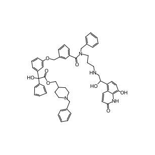 O=C(c1cccc(COc2cccc(C(O)(C(=O)OCC3CCN(Cc4ccccc4)CC3)c3ccccc3)c2)c1)N(CCCNCC(O)c1ccc(O)c2[nH]c(=O)ccc12)Cc1ccccc1